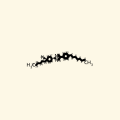 CCCCCCCCc1ccc(-c2cnc([C@H]3CC[C@@](C#N)(CCCCCC)CC3)nc2)cc1